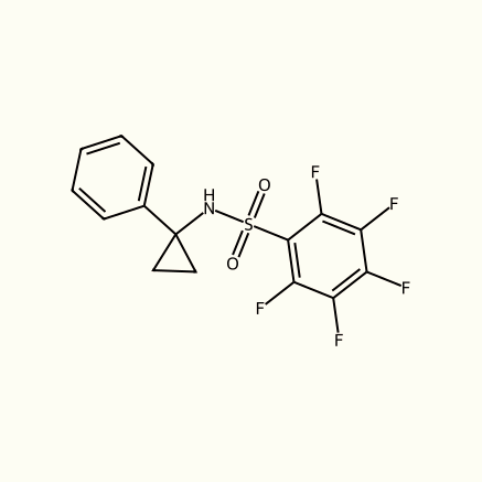 O=S(=O)(NC1(c2ccccc2)CC1)c1c(F)c(F)c(F)c(F)c1F